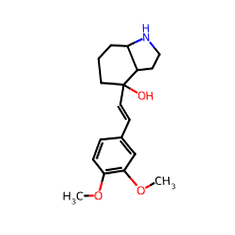 COc1ccc(C=CC2(O)CCCC3NCCC32)cc1OC